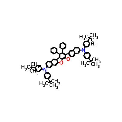 CC(C)(C)c1ccc(N(c2ccc(C(C)(C)C)cc2)c2ccc3cc4c(cc3c2)oc2c3oc5cc6cc(N(c7ccc(C(C)(C)C)cc7)c7ccc(C(C)(C)C)cc7)ccc6cc5c3c(-c3ccccc3)c(-c3ccccc3)c42)cc1